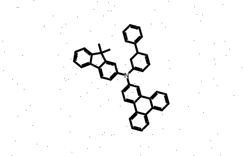 CC1(C)c2ccccc2-c2ccc(N(C3=CC=CC(c4ccccc4)C3)c3ccc4c5ccccc5c5ccccc5c4c3)cc21